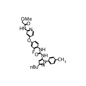 CCCCc1cc(NC(=O)Nc2ccc(Oc3ccnc(NC(=O)COC)c3)cc2F)n(-c2ccc(C)cc2)n1